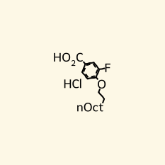 CCCCCCCCCCOc1ccc(C(=O)O)cc1F.Cl